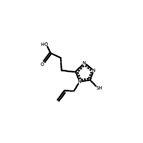 C=CCn1c(S)nnc1CCC(=O)O